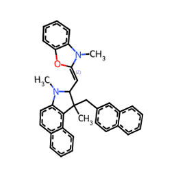 CN1/C(=C/C2N(C)c3ccc4ccccc4c3C2(C)Cc2ccc3ccccc3c2)Oc2ccccc21